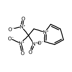 O=[N+]([O-])C(C[n+]1ccccc1)([N+](=O)[O-])[N+](=O)[O-]